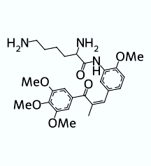 COc1ccc(C=C(C)C(=O)c2cc(OC)c(OC)c(OC)c2)cc1NC(=O)C(N)CCCCN